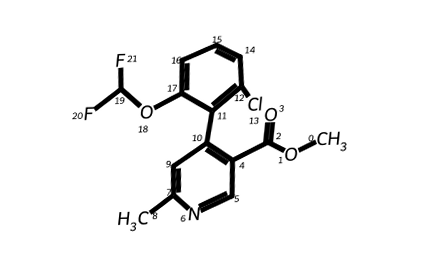 COC(=O)c1cnc(C)cc1-c1c(Cl)cccc1OC(F)F